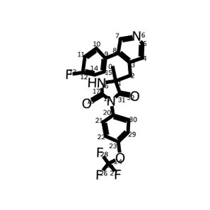 CC1(Cc2ccncc2-c2ccc(F)cc2)NC(=O)N(c2ccc(OC(F)(F)F)cc2)C1=O